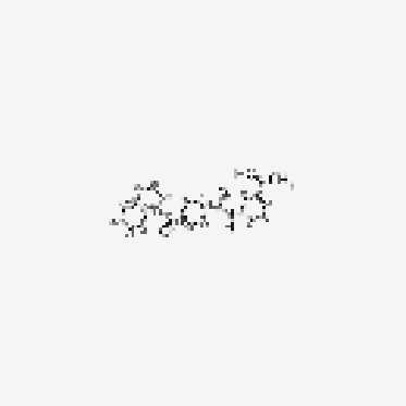 CC(O)c1cccc(NC(=O)c2ccc([S+]([O-])N3CCCc4ccccc43)cc2)c1